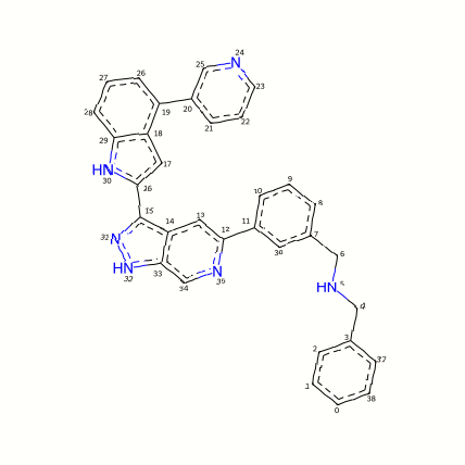 c1ccc(CNCc2cccc(-c3cc4c(-c5cc6c(-c7cccnc7)cccc6[nH]5)n[nH]c4cn3)c2)cc1